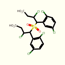 O=C(O)CC(Cl)C(c1cc(Cl)ccc1Cl)S(=O)(=O)C(c1cc(Cl)ccc1Cl)C(Cl)CC(=O)O